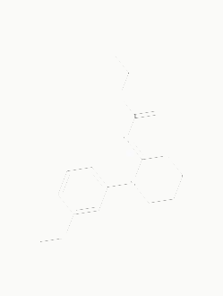 CCOC(=O)/N=C1\SCCCN1c1cccc(OC)c1